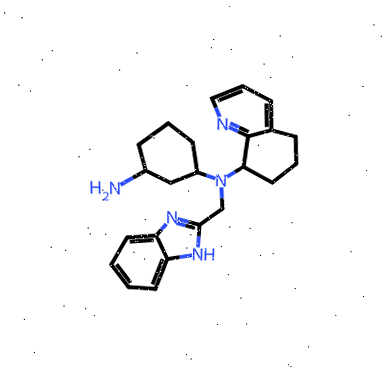 NC1CCCC(N(Cc2nc3ccccc3[nH]2)C2CCCc3cccnc32)C1